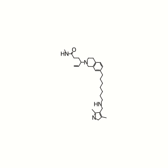 C=CC(CCC(=O)NC)N1CCc2ccc(CCCCCCCNCC3=C(C)CN=C3C)cc2C1